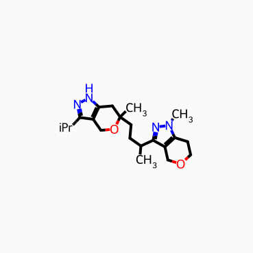 CC(C)c1n[nH]c2c1COC(C)(CCC(C)c1nn(C)c3c1COCC3)C2